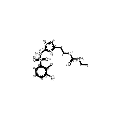 CCNC(=O)OCCc1nsc(NS(=O)(=O)c2cccc(Cl)c2C)n1